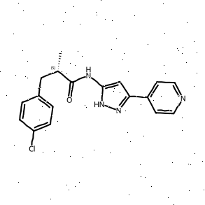 C[C@@H](Cc1ccc(Cl)cc1)C(=O)Nc1cc(-c2ccncc2)n[nH]1